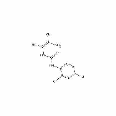 N#CC(N)=C(C#N)NC(=O)Nc1ccc(Cl)cc1Cl